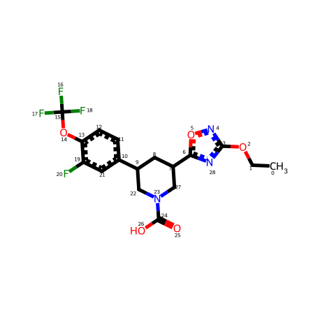 CCOc1noc(C2CC(c3ccc(OC(F)(F)F)c(F)c3)CN(C(=O)O)C2)n1